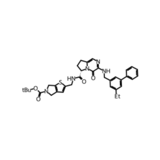 CCc1cc(CNc2ncc3n(c2=O)[C@H](C(=O)NCc2cc4c(s2)CN(C(=O)OC(C)(C)C)C4)CC3)cc(-c2ccccc2)c1